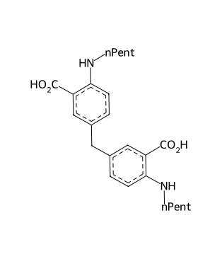 CCCCCNc1ccc(Cc2ccc(NCCCCC)c(C(=O)O)c2)cc1C(=O)O